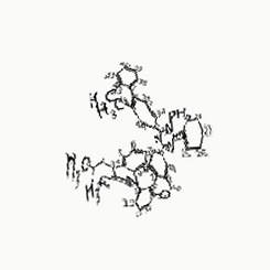 CCCC1c2ccccc2N(c2cccc3c2-c2ccc(C4=NC(C5=CCCC=C5)N(P)C(c5ccc(-c6ccccc6C)c(C)c5)=N4)cc2CO3)C1C